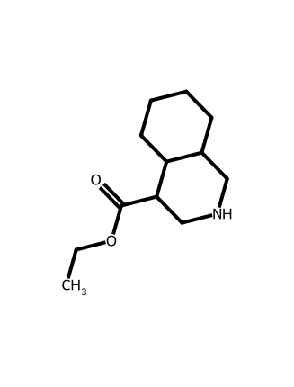 CCOC(=O)C1CNCC2CCCCC21